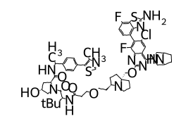 Cc1ncsc1-c1ccc([C@H](C)NC(=O)[C@@H]2C[C@@H](O)CN2C(=O)[C@@H](NC(=O)CCOCC[C@H]2CC[C@@]3(COc4nc(N5CC6CCC(C5)N6)c5cc(Cl)c(-c6ccc(F)c7sc(N)nc67)c(F)c5n4)CCCN23)C(C)(C)C)cc1